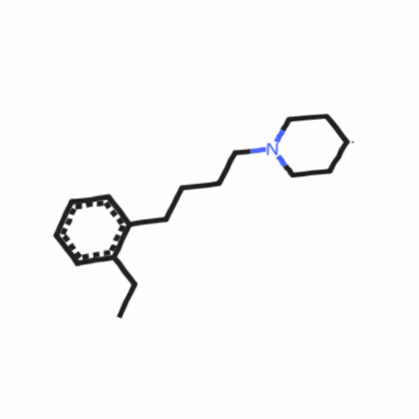 CCc1ccccc1CCCCN1CC[CH]CC1